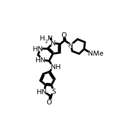 CNC1CCN(C(=O)c2cc3c(n2N)NCNC3Nc2ccc3[nH]c(=O)sc3c2)CC1